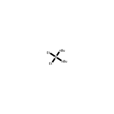 CCCC[B-](CC)(CC)CCCC